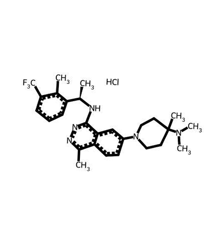 Cc1c([C@@H](C)Nc2nnc(C)c3ccc(N4CCC(C)(N(C)C)CC4)cc23)cccc1C(F)(F)F.Cl